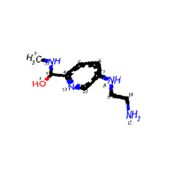 CNC(O)c1ccc(NCCN)cn1